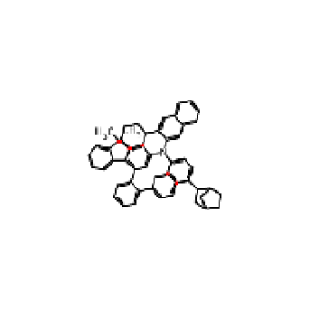 CC1(C)c2ccccc2-c2c(-c3ccccc3-c3ccccc3)cc(N(c3ccc(C4CC5CCC4C5)cc3)c3cc4ccccc4cc3C3CCCCC3)cc21